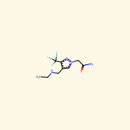 CCNCc1cn(CC(N)=O)nc1C(F)(F)F